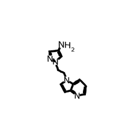 Nc1cnn(CCn2ccc3ncccc32)c1